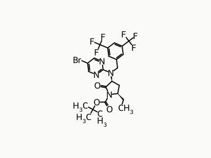 CC[C@@H]1C[C@H](N(Cc2cc(C(F)(F)F)cc(C(F)(F)F)c2)c2ncc(Br)cn2)C(=O)N1C(=O)OC(C)(C)C